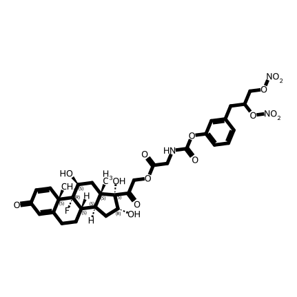 C[C@]12C=CC(=O)C=C1CC[C@H]1[C@@H]3C[C@@H](O)[C@](O)(C(=O)COC(=O)CNC(=O)Oc4cccc(CC(CO[N+](=O)[O-])O[N+](=O)[O-])c4)[C@@]3(C)C[C@H](O)[C@@]12F